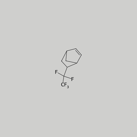 FC(F)(F)C(F)(F)C1CC2C=CC1C2